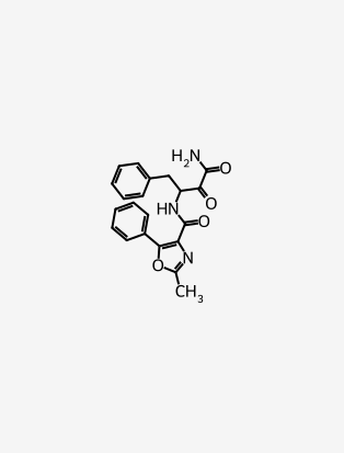 Cc1nc(C(=O)NC(Cc2ccccc2)C(=O)C(N)=O)c(-c2ccccc2)o1